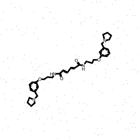 O=C(C=CC=CC(=O)NCCCOc1cccc(CN2CCCC2)c1)NCCCOc1cccc(CN2CCCC2)c1